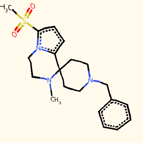 CN1CCn2c(ccc2S(C)(=O)=O)C12CCN(Cc1ccccc1)CC2